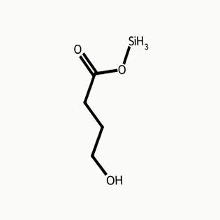 O=C(CCCO)O[SiH3]